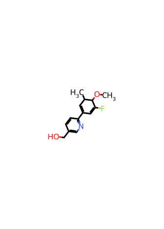 COC1C(F)=CC(c2ccc(CO)cn2)=CC1C